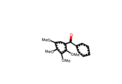 COc1cc(C(=O)c2ccccc2)c(OC)c(OC)c1OC